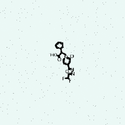 O=C(O)C(Cn1ccc(-c2nnc(C(F)F)o2)cc1=O)c1ccccc1